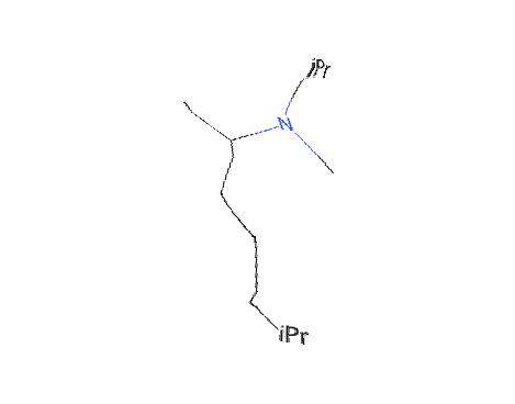 CC(C)CCCC(C)N(C)C(C)C